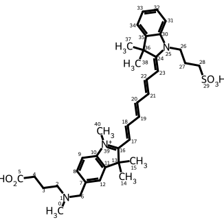 CN(CCCC(=O)O)Cc1ccc2c(c1)C(C)(C)C(/C=C/C=C/C=C/C=C1/N(CCCS(=O)(=O)O)c3ccccc3C1(C)C)=[N+]2C